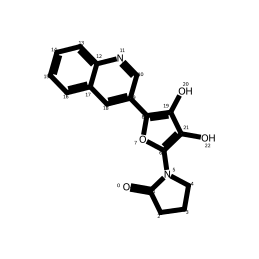 O=C1CCCN1c1oc(-c2cnc3ccccc3c2)c(O)c1O